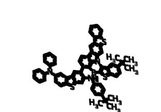 CC(C)(C)c1ccc(Nc2cc3sc4ccc(N(c5ccccc5)c5ccccc5)cc4c3cc2-c2ccc3c4cc5c(cc4n4c3c2Bc2sc3ccc(C(C)(C)C)cc3c2-4)sc2ccccc25)cc1